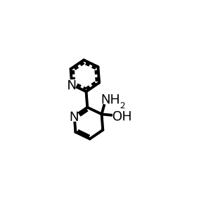 NC1(O)CC=CN=C1c1ccccn1